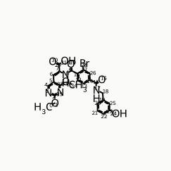 COc1ncc(C=C(NC(=O)c2ccc(C(=O)NCc3cccc(O)c3)cc2Br)C(=O)O)c(OC)n1